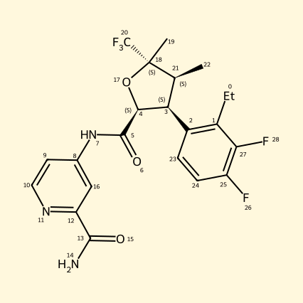 CCc1c([C@H]2[C@@H](C(=O)Nc3ccnc(C(N)=O)c3)O[C@](C)(C(F)(F)F)[C@H]2C)ccc(F)c1F